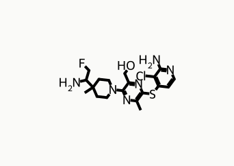 Cc1nc(N2CCC(C)(C(N)CF)CC2)c(CO)nc1Sc1ccnc(N)c1Cl